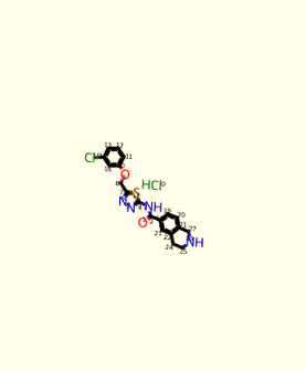 Cl.O=C(Nc1nnc(COc2cccc(Cl)c2)s1)c1ccc2c(c1)CCNC2